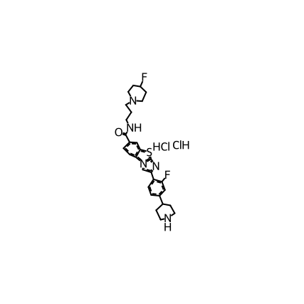 Cl.Cl.O=C(NCCCN1CCC(F)CC1)c1ccc2c(c1)sc1nc(-c3ccc(C4CCNCC4)cc3F)cn12